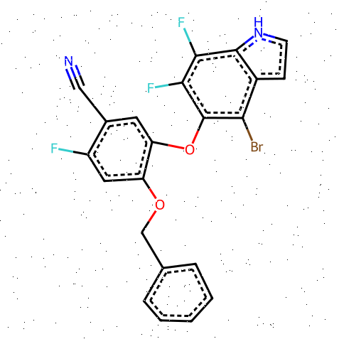 N#Cc1cc(Oc2c(F)c(F)c3[nH]ccc3c2Br)c(OCc2ccccc2)cc1F